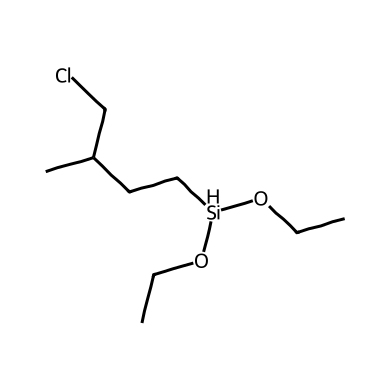 CCO[SiH](CCC(C)CCl)OCC